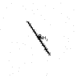 CCCCCCCCCCCCCCCCCN(CCCCCCCCCCCCCCCCC)C(N)=O